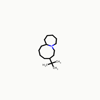 CC(C)(C)C1CCCCC2CCCCCN2CC1